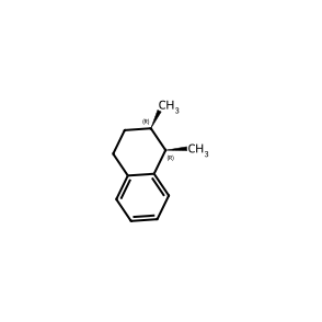 C[C@@H]1CCc2ccccc2[C@@H]1C